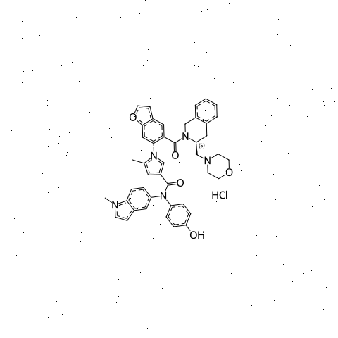 Cc1cc(C(=O)N(c2ccc(O)cc2)c2ccc3c(ccn3C)c2)cn1-c1cc2occc2cc1C(=O)N1Cc2ccccc2C[C@H]1CN1CCOCC1.Cl